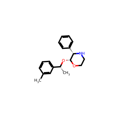 Cc1cccc([C@@H](C)O[C@H]2OCCN[C@H]2c2ccccc2)c1